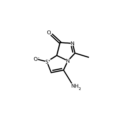 CC1=NC(=O)C2N1C(N)=C[S+]2[O-]